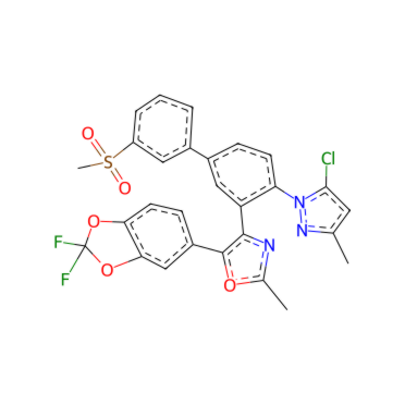 Cc1cc(Cl)n(-c2ccc(-c3cccc(S(C)(=O)=O)c3)cc2-c2nc(C)oc2-c2ccc3c(c2)OC(F)(F)O3)n1